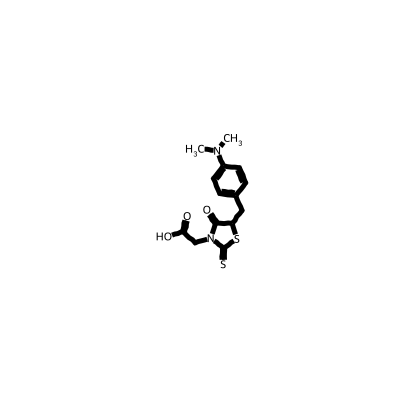 CN(C)c1ccc(CC2SC(=S)N(CC(=O)O)C2=O)cc1